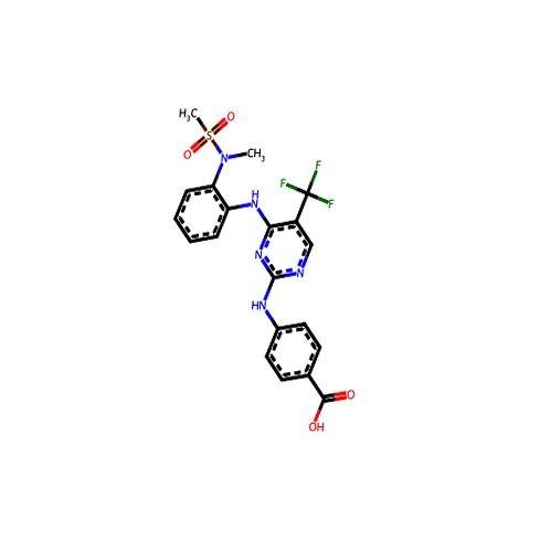 CN(c1ccccc1Nc1nc(Nc2ccc(C(=O)O)cc2)ncc1C(F)(F)F)S(C)(=O)=O